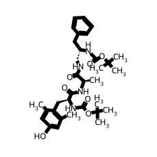 Cc1cc(O)cc(C)c1C[C@H](NC(=O)OC(C)(C)C)C(=O)N[C@H](C)C(=O)NC[C@H](Cc1ccccc1)NC(=O)OC(C)(C)C